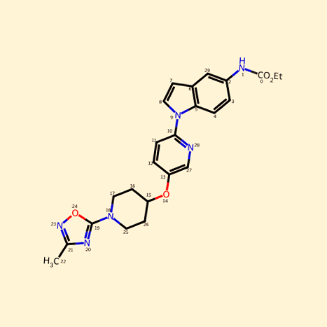 CCOC(=O)Nc1ccc2c(ccn2-c2ccc(OC3CCN(c4nc(C)no4)CC3)cn2)c1